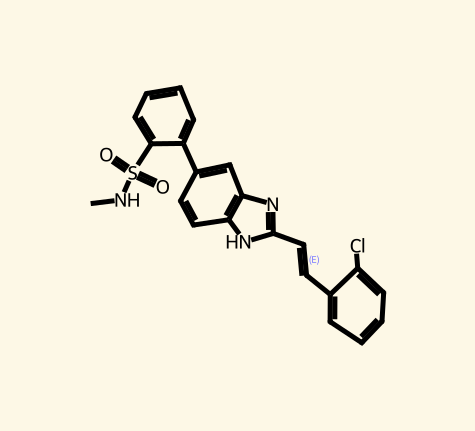 CNS(=O)(=O)c1ccccc1-c1ccc2[nH]c(/C=C/c3ccccc3Cl)nc2c1